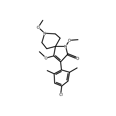 COC1=C(c2c(C)cc(Cl)cc2C)C(=O)N(OC)C12CCN(OC)CC2